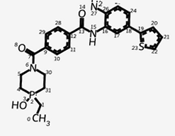 CC[P]1(O)CCN(C(=O)c2ccc(C(=O)Nc3cc(-c4cccs4)ccc3N)cc2)CC1